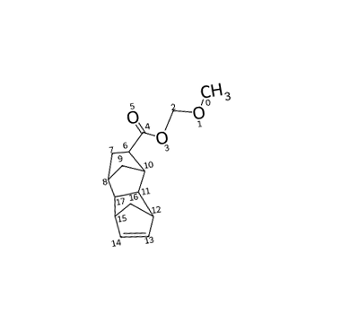 COCOC(=O)C1CC2CC1C1C3C=CC(C3)C21